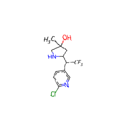 CC1(O)CNC(C(c2ccc(Cl)nc2)C(F)(F)F)C1